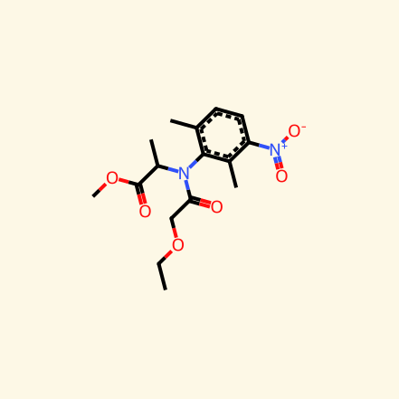 CCOCC(=O)N(c1c(C)ccc([N+](=O)[O-])c1C)C(C)C(=O)OC